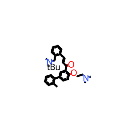 Cc1ccccc1-c1ccc(OCCN(C)C)c(C(=O)C=Cc2ccccc2CN(C)C(C)(C)C)c1